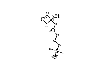 CCC1(COCCC[SH](C)(C)=O)COC1